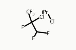 CC(C)Cl.FC(F)C(F)(Cl)C(F)(F)F